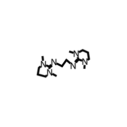 CN1CCCN(C)C1=NCCN=C1N(C)CCCN1C